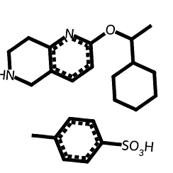 CC(Oc1ccc2c(n1)CCNC2)C1CCCCC1.Cc1ccc(S(=O)(=O)O)cc1